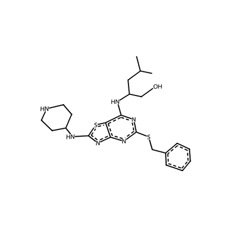 CC(C)CC(CO)Nc1nc(SCc2ccccc2)nc2nc(NC3CCNCC3)sc12